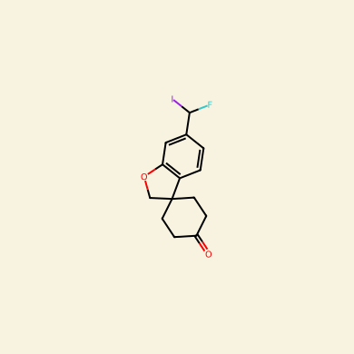 O=C1CCC2(CC1)COc1cc(C(F)I)ccc12